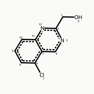 OCc1ncc2c(Cl)cccc2n1